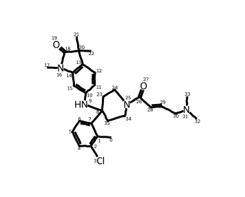 Cc1c(Cl)cccc1C1(Nc2ccc3c(c2)N(C)C(=O)C3(C)C)CCN(C(=O)/C=C/CN(C)C)CC1